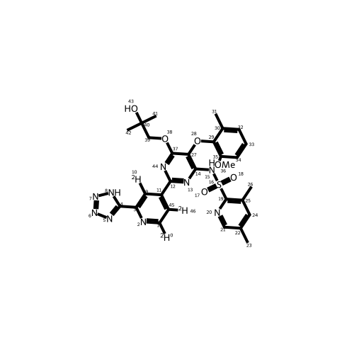 [2H]c1nc(-c2nnn[nH]2)c([2H])c(-c2nc(NS(=O)(=O)c3ncc(C)cc3C)c(Oc3c(C)cccc3OC)c(OCC(C)(C)O)n2)c1[2H]